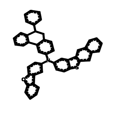 c1ccc(C2Cc3ccc(N(c4ccc5oc6ccccc6c5c4)c4ccc5sc6cc7ccccc7cc6c5c4)cc3-c3ccccc32)cc1